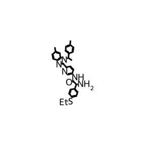 CCSc1ccc(C(N)C(=O)Nc2ccc(-c3nc4ccc(C)cc4n3C(C)c3ccc(C)cc3)nc2)cc1